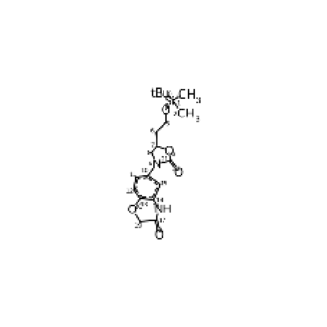 CC(C)(C)[Si](C)(C)OCC[C@@H]1CN(c2ccc3c(c2)NC(=O)CO3)C(=O)O1